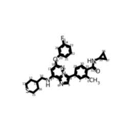 Cc1cc(-c2cnc3c(NCC4CCSCC4)cc(Oc4cccc(F)c4)nn23)ccc1C(=O)NC1CC1